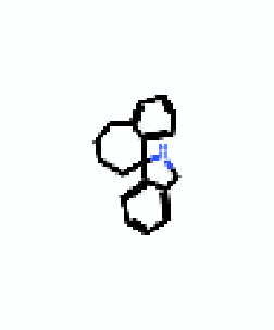 c1ccc2c(c1)CCCCC21NCc2ccccc21